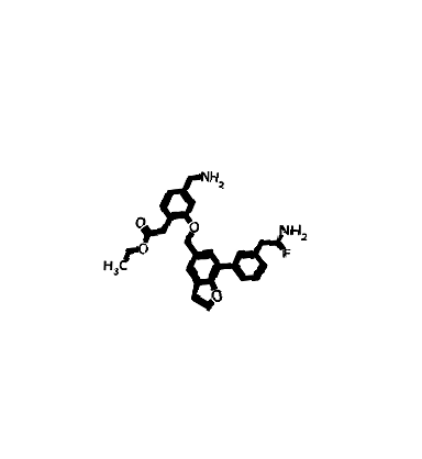 CCOC(=O)Cc1ccc(CN)cc1OCc1cc(-c2cccc(C[C@@H](N)F)c2)c2occc2c1